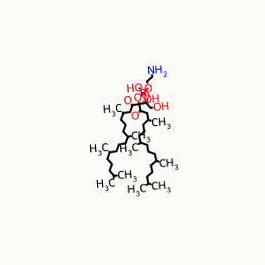 CC(C)CCCC(C)CCCC(C)CCCC(C)CC(=O)C(OP(=O)(O)OCCN)(C(=O)CC(C)CCCC(C)CCCC(C)CCCC(C)C)[C@@H](O)CO